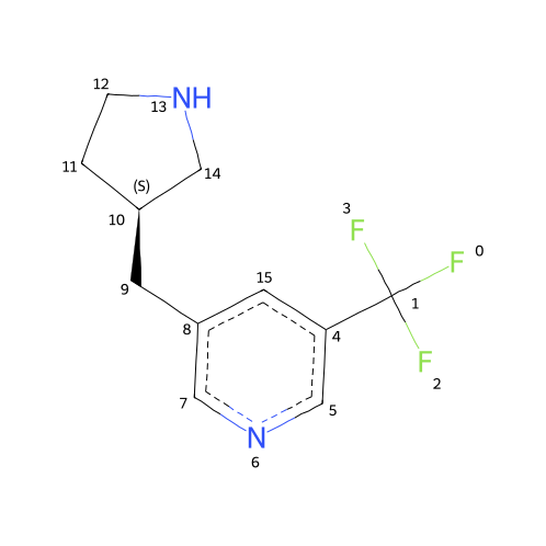 FC(F)(F)c1cncc(C[C@H]2CCNC2)c1